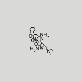 CCN(CC)CCc1cc(-c2nc(N)c3cc(-c4c(C)cccc4C)c(=O)n(OC)c3n2)c(C(N)=O)n1C